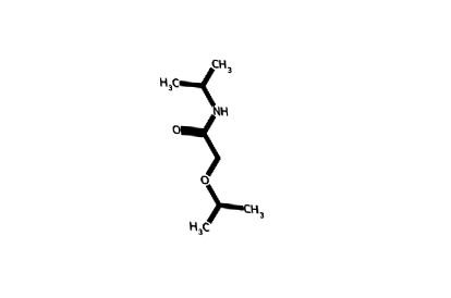 CC(C)NC(=O)COC(C)C